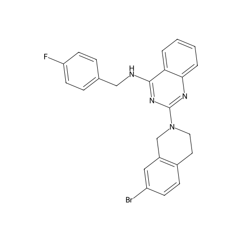 Fc1ccc(CNc2nc(N3CCc4ccc(Br)cc4C3)nc3ccccc23)cc1